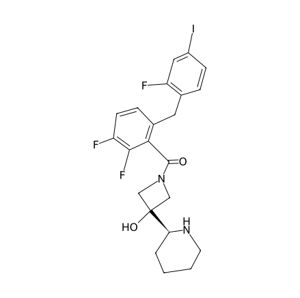 O=C(c1c(Cc2ccc(I)cc2F)ccc(F)c1F)N1CC(O)([C@@H]2CCCCN2)C1